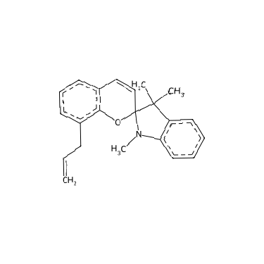 C=CCc1cccc2c1OC1(C=C2)N(C)c2ccccc2C1(C)C